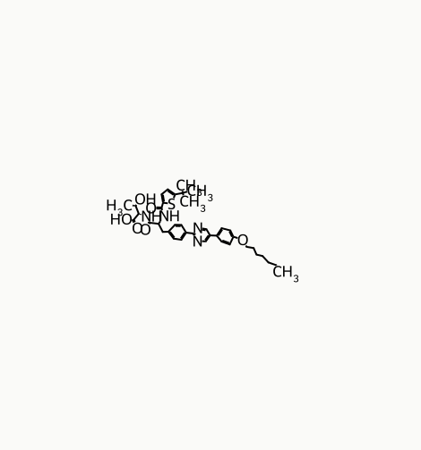 CCCCCCCOc1ccc(-c2cnc(-c3ccc(CC(NC(=O)c4ccc(C(C)(C)C)s4)C(=O)N[C@H](C(=O)O)[C@@H](C)O)cc3)nc2)cc1